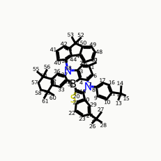 Cc1cc2c3c(c1)N(c1ccc(C(C)(C)C)cc1)c1c(sc4ccc(C(C)(C)C)cc14)B3c1cc3c(cc1N2c1cccc2c1-c1ccccc1C2(C)C)C(C)(C)CCC3(C)C